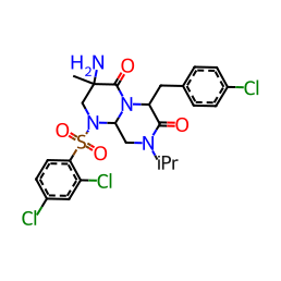 CC(C)N1CC2N(C(=O)C(C)(N)CN2S(=O)(=O)c2ccc(Cl)cc2Cl)C(Cc2ccc(Cl)cc2)C1=O